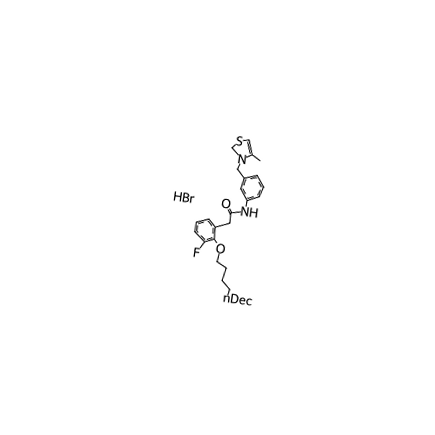 Br.CCCCCCCCCCCCCCOc1c(F)cccc1CC(=O)Nc1cccc(CN2CSC=C2C)c1